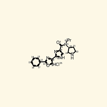 CC(C)N(C(=O)c1c[nH]c(-c2coc(-c3ccccc3)n2)n1)[C@H]1CCNC1.Cl